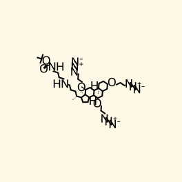 C[C@H](CCCNCCCCNC(=O)OC(C)(C)C)C1CC[C@H]2C3[C@H](OCCCN=[N+]=[N-])CC4CC(OCCCN=[N+]=[N-])CC[C@]4(C)[C@H]3C[C@H](OCCCN=[N+]=[N-])[C@]12C